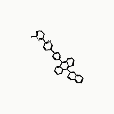 CC1=CCCC(c2ccc(-c3ccc(-c4c5ccccc5c(-c5ccc6ccccc6c5)c5ccccc45)cc3)cn2)=N1